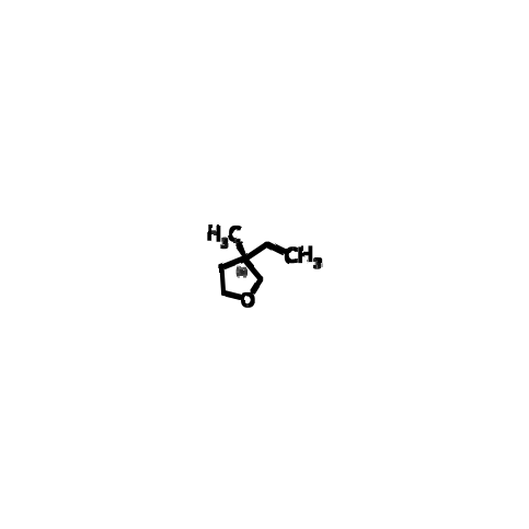 CC[C@@]1(C)CCOC1